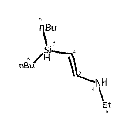 CCCC[SiH](C=CNCC)CCCC